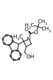 CC(C)(C)OC(=O)N1CC(CO)C1(C)C1c2ccccc2-c2ccccc21